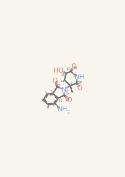 CC1(N2C(=O)c3cccc(N)c3C2=O)CC(O)C(=O)NC1=O